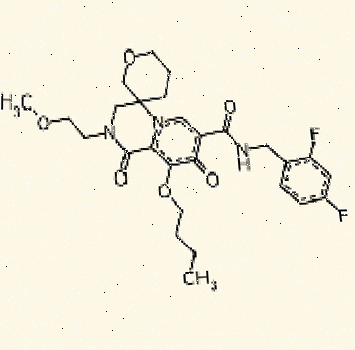 CCCCOc1c2n(cc(C(=O)NCc3ccc(F)cc3F)c1=O)C1(CCCOC1)CN(CCOC)C2=O